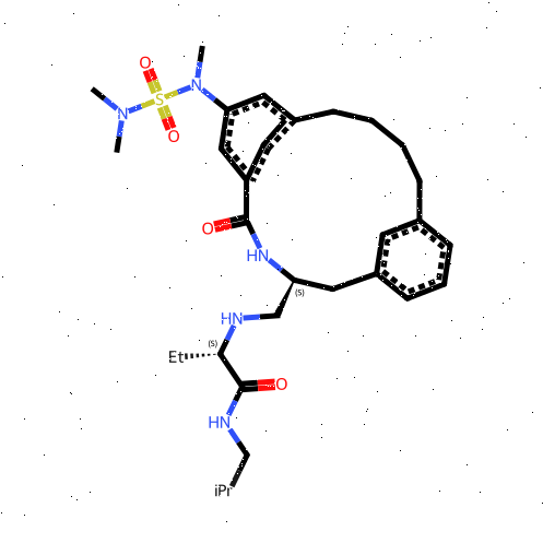 CC[C@H](NC[C@@H]1Cc2cccc(c2)CCCCc2cc(cc(N(C)S(=O)(=O)N(C)C)c2)C(=O)N1)C(=O)NCC(C)C